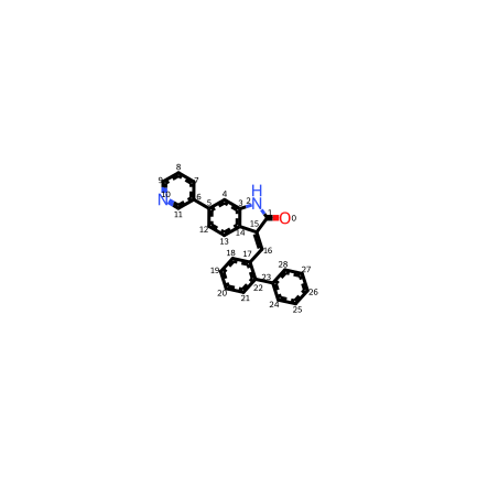 O=C1Nc2cc(-c3cccnc3)ccc2/C1=C\c1ccccc1-c1ccccc1